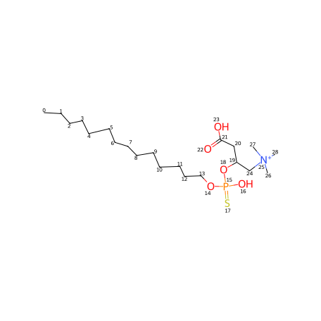 CCCCCCCCCCCCCCOP(O)(=S)OC(CC(=O)O)C[N+](C)(C)C